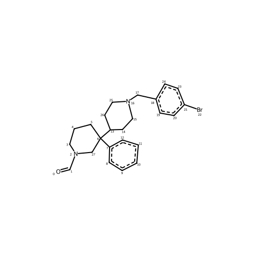 O=CN1CCCC(c2ccccc2)(C2CCN(Cc3ccc(Br)cc3)CC2)C1